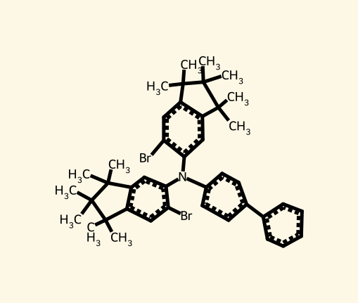 CC1(C)c2cc(Br)c(N(c3ccc(-c4ccccc4)cc3)c3cc4c(cc3Br)C(C)(C)C(C)(C)C4(C)C)cc2C(C)(C)C1(C)C